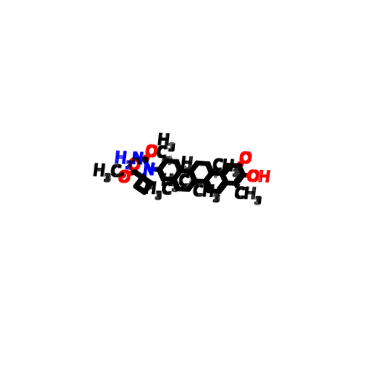 COC(=O)C1(N(C(N)=O)C2C[C@]3(C)CC[C@]4(C)C5=CC=C6C(=CC(=O)C(O)=C6C)[C@]5(C)CC[C@@]4(C)[C@@H]3C[C@H]2C)CCC1